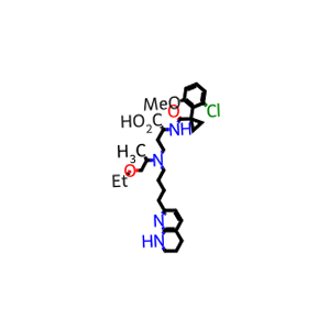 CCOCC(C)N(CCCCc1ccc2c(n1)NCCC2)CCC(NC(=O)C1(c2c(Cl)cccc2OC)CC1)C(=O)O